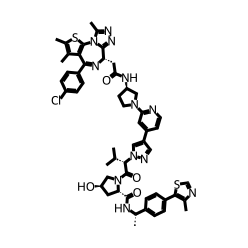 Cc1ncsc1-c1ccc([C@H](C)NC(=O)[C@@H]2C[C@@H](O)CN2C(=O)[C@H](C(C)C)n2cc(-c3ccnc(N4CC[C@@H](NC(=O)C[C@@H]5N=C(c6ccc(Cl)cc6)c6c(sc(C)c6C)-n6c(C)nnc65)C4)c3)cn2)cc1